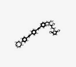 CC(=O)C(Cc1ccc(C#Cc2ccc(C#Cc3ccc(N4CCSSCC4)cc3)cc2)cc1)NC(=O)CCN1C(=O)C=CC1=O